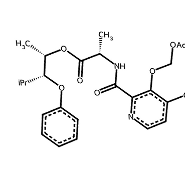 CC(=O)OCOc1c(Cl)ccnc1C(=O)N[C@@H](C)C(=O)O[C@@H](C)[C@H](Oc1ccccc1)C(C)C